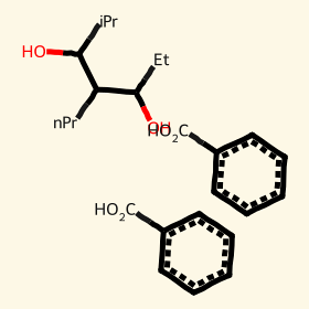 CCCC(C(O)CC)C(O)C(C)C.O=C(O)c1ccccc1.O=C(O)c1ccccc1